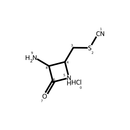 Cl.N#CSCC1NC(=O)C1N